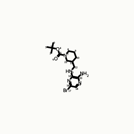 CC(C)(C)OC(=O)N1CCCC(CNc2nc(Br)cnc2N)C1